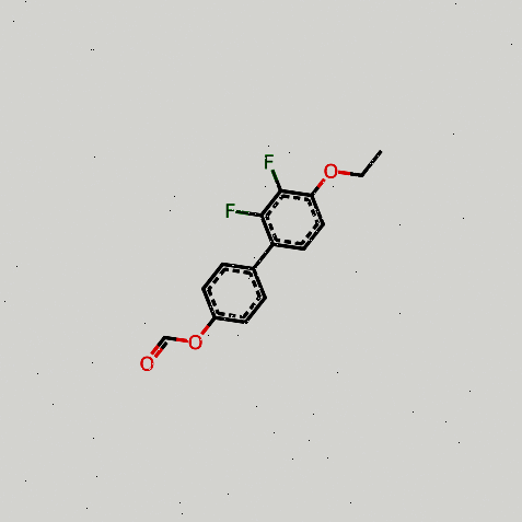 CCOc1ccc(-c2ccc(OC=O)cc2)c(F)c1F